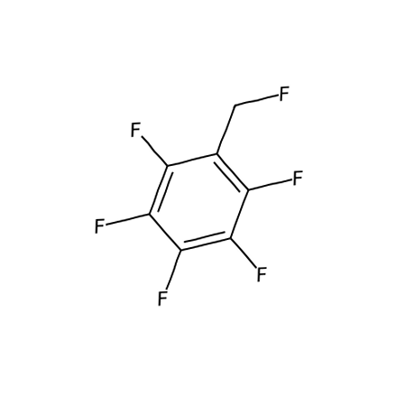 FCc1c(F)c(F)c(F)c(F)c1F